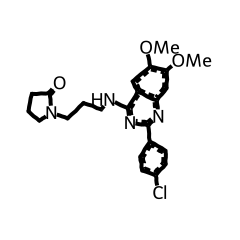 COc1cc2nc(-c3ccc(Cl)cc3)nc(NCCCN3CCCC3=O)c2cc1OC